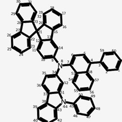 c1ccc(-c2ccc(N(c3ccc4c(c3)-c3ccccc3C43c4ccccc4-c4ccccc43)c3ccc4c5ccccc5n(-c5ccccc5)c4c3)c3ccccc23)cc1